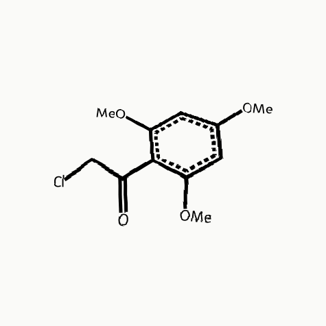 COc1cc(OC)c(C(=O)CCl)c(OC)c1